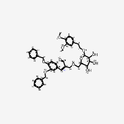 COc1ccc(CCOC2OC(COC/C(C=O)=C/c3ccc(OCc4ccccc4)c(OCc4ccccc4)c3)C(O)C(O)C2O)cc1OC